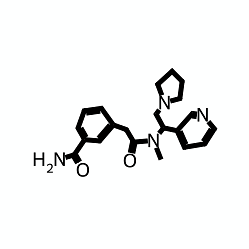 CN(C(=O)Cc1cccc(C(N)=O)c1)C(CN1CCCC1)c1cccnc1